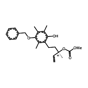 C=C[C@@](C)(CCc1c(C)c(OCc2ccccc2)c(C)c(C)c1O)OC(=O)OC